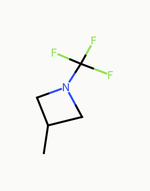 CC1CN(C(F)(F)F)C1